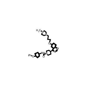 CC(C)Oc1ccc(NC(=O)N2CCC(c3ncnc4ccc(OCCCN5CCN(C)CC5)cc34)CC2)cc1